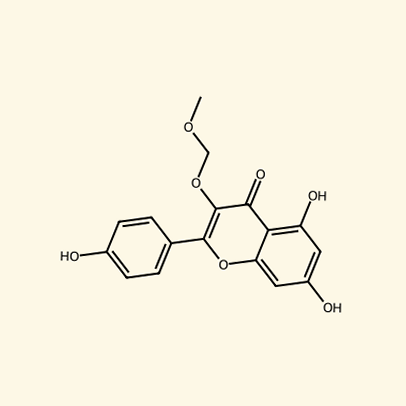 COCOc1c(-c2ccc(O)cc2)oc2cc(O)cc(O)c2c1=O